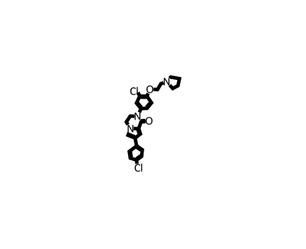 O=C1c2cc(-c3ccc(Cl)cc3)cn2CCN1c1ccc(OCCN2CCCC2)c(Cl)c1